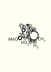 COc1ccc2c(O[C@@H]3C[C@H]4C(=O)N[C@]5(C(=O)NS(=O)(=O)C6(C)CC6)C[C@H]5/C=C\CC[C@@H](C)C[C@@H](C)[C@H](NC(=O)O)C(=O)N4C3)nc(-c3ccc(OC(C)C)cc3)nc2c1